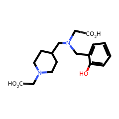 O=C(O)CN1CCC(CN(CC(=O)O)Cc2ccccc2O)CC1